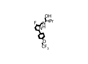 CC(C)[C@H](CO)NCc1nc(-c2ccc(OCC(F)(F)F)cc2)ccc1F